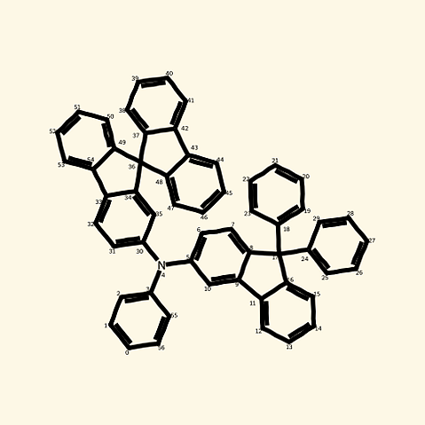 c1ccc(N(c2ccc3c(c2)-c2ccccc2C3(c2ccccc2)c2ccccc2)c2ccc3c(c2)C2(c4ccccc4-c4ccccc42)c2ccccc2-3)cc1